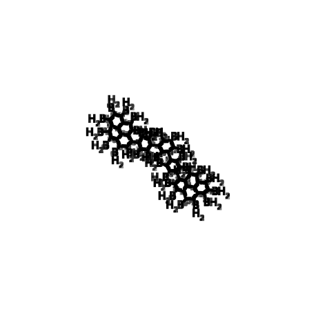 Bc1c(B)c(-c2c(B)c(B)c(-c3c(B)c(B)c4c(B)c(B)c5c(B)c(B)c(B)c6c(B)c(B)c3c4c56)c(B)c2B)c(B)c(-c2c(B)c(B)c(-c3c(B)c(B)c4c(B)c(B)c5c(B)c(B)c(B)c6c(B)c(B)c3c4c56)c(B)c2B)c1B